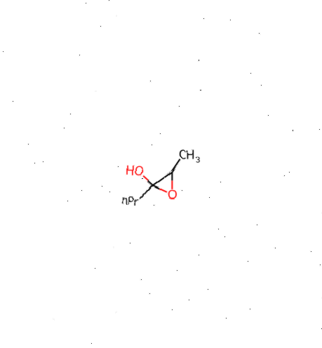 CCCC1(O)OC1C